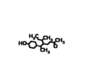 CCC(C)C(CCC(C)=O)C(C)[C@H]1CC[C@@H](O)CC1